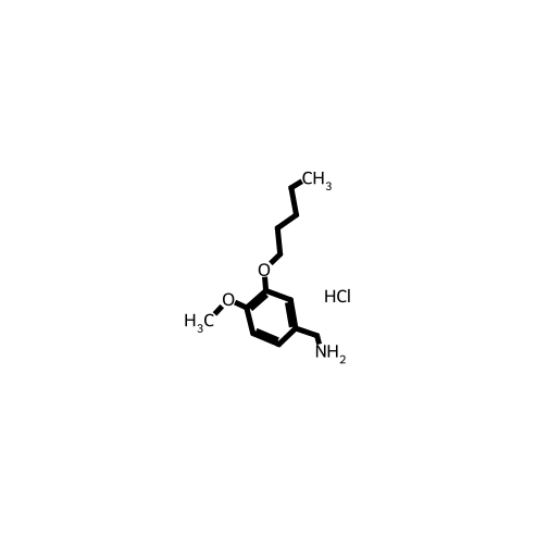 CCCCCOc1cc(CN)ccc1OC.Cl